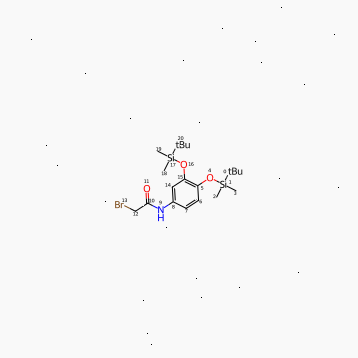 CC(C)(C)[Si](C)(C)Oc1ccc(NC(=O)CBr)cc1O[Si](C)(C)C(C)(C)C